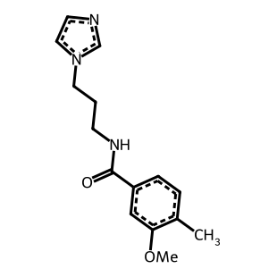 COc1cc(C(=O)NCCCn2ccnc2)ccc1C